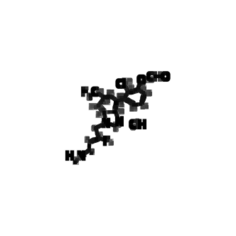 Cl.NC/C=C(\F)Cn1cnc2c(-c3cccc(OC=O)c3Cl)cc(C(F)(F)F)cc21